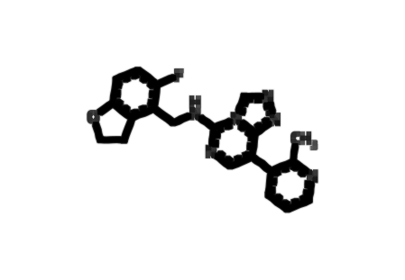 Cc1ncccc1-c1cnc(NCc2c(F)ccc3c2CCO3)n2cnnc12